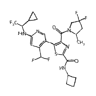 CC1CC(F)(F)CN1C(=O)c1nc(C(=O)NC2CCC2)sc1-c1cnc(NC(C2CC2)C(F)(F)F)cc1C(F)F